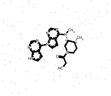 C[C@@H]1CCN(C(=O)CC#N)C[C@@H]1N(C)c1ncnc2c1ccn2-c1ncnc2[nH]ccc12